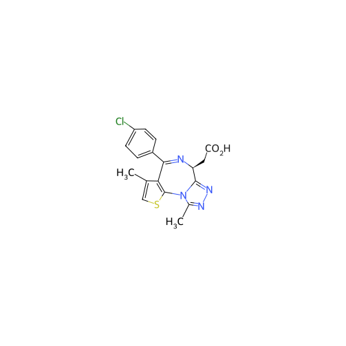 Cc1csc2c1C(c1ccc(Cl)cc1)=N[C@@H](CC(=O)O)c1nnc(C)n1-2